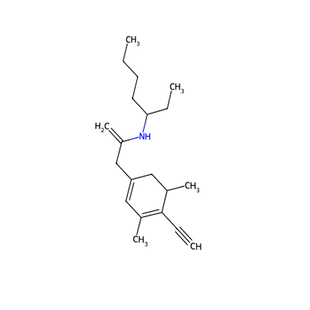 C#CC1=C(C)C=C(CC(=C)NC(CC)CCCC)CC1C